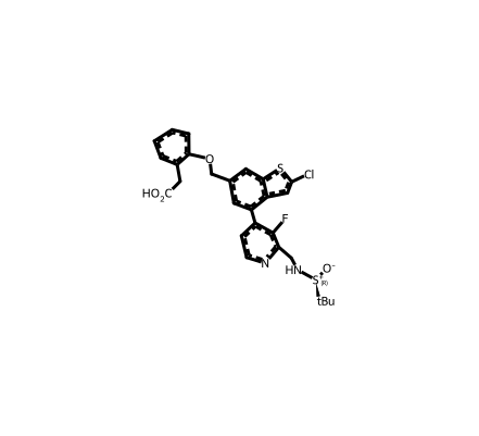 CC(C)(C)[S@+]([O-])NCc1nccc(-c2cc(COc3ccccc3CC(=O)O)cc3sc(Cl)cc23)c1F